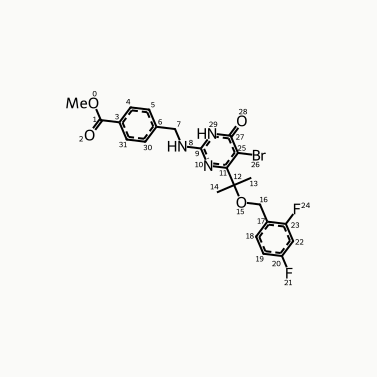 COC(=O)c1ccc(CNc2nc(C(C)(C)OCc3ccc(F)cc3F)c(Br)c(=O)[nH]2)cc1